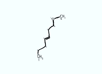 CCC/C=C/CCOC